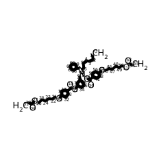 C=C/C=C\C=C/CN(/N=C/c1cc(OC(=O)c2ccc(OCCCCCCOC(=O)C=C)cc2)ccc1OC(=O)c1ccc(OCCCCCCOC(=O)C=C)cc1)c1ccccc1